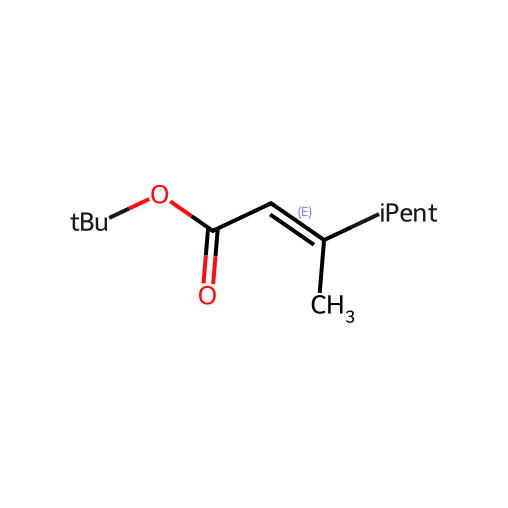 CCCC(C)/C(C)=C/C(=O)OC(C)(C)C